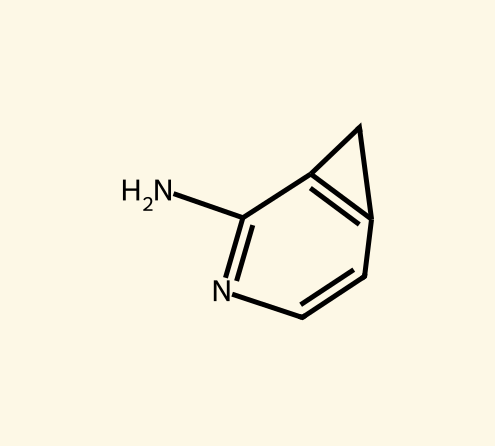 Nc1nccc2c1C2